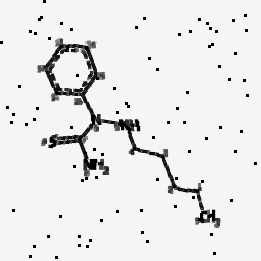 CCCCCNN(C(N)=S)c1ccccc1